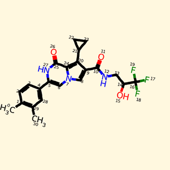 Cc1ccc(-c2cn3cc(C(=O)NCC(O)C(F)(F)F)c(C4CC4)c3c(=O)[nH]2)cc1C